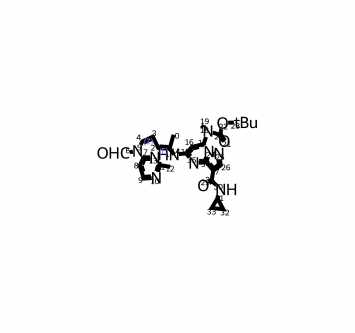 C/C(=C\C=C/N(C=O)c1ccnc(C)n1)Nc1cc(N(C)C(=O)OC(C)(C)C)n2ncc(C(=O)NC3CC3)c2n1